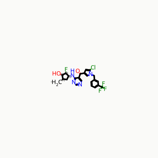 [CH2][C@@H]1C[C@@H](Nc2ncncc2C(=O)c2cc(Cl)n(Cc3cccc(C(F)(F)F)c3)c2)[C@@H](F)[C@@H]1O